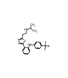 CC(C)NCCc1nnc(-c2ccccc2Nc2ccc(C(F)(F)F)cc2)o1